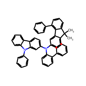 CC1(C)c2ccc(N(c3ccc4c5ccccc5n(-c5ccccc5)c4c3)c3ccccc3-c3ccccc3)cc2-c2c(-c3ccccc3)cccc21